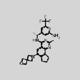 Cc1nc(N[C@H](C)c2cc(N)nc(C(F)(F)F)c2)c2cc(N3CC4(COC4)C3)c3c(c2n1)CCC3